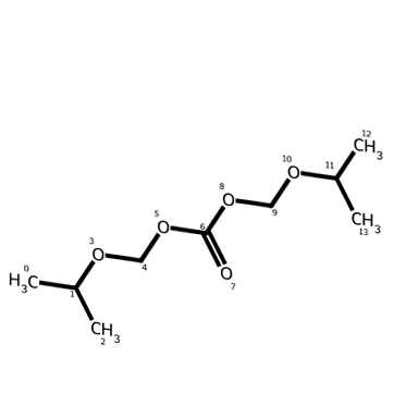 CC(C)OCOC(=O)OCOC(C)C